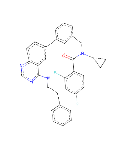 O=C(c1ccc(F)cc1F)N(Cc1cccc(-c2ccc3ncnc(NCCc4ccccc4)c3c2)c1)C1CC1